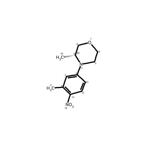 Cc1cc(N2CCOC[C@H]2C)ccc1[N+](=O)[O-]